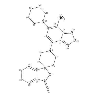 O=C1OC2(CCN(c3cc(N4CCCCC4)c([N+](=O)[O-])c4nonc34)CC2)c2ccccc21